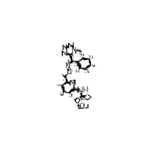 Cn1nnnc1C(=NOCc1cccc(NC(=O)OC(C)(C)C)n1)c1ccccc1